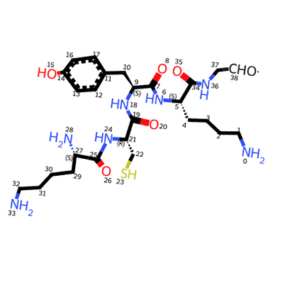 NCCCC[C@H](NC(=O)[C@H](Cc1ccc(O)cc1)NC(=O)[C@H](CS)NC(=O)[C@@H](N)CCCCN)C(=O)NC[C]=O